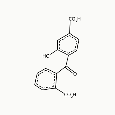 O=C(O)c1ccc(C(=O)c2ccccc2C(=O)O)c(O)c1